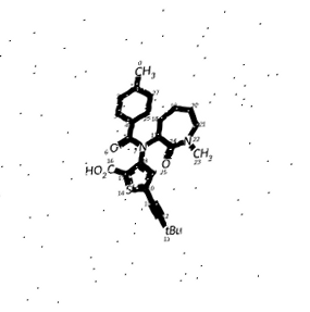 CC1CCC(C(=O)N(c2cc(C#CC(C)(C)C)sc2C(=O)O)C2CCCCN(C)C2=O)CC1